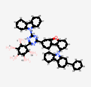 Bc1c(B)c(B)c(-c2nc(-c3ccc4c(c3)oc3cccc(-n5c6ccccc6c6ccc(-c7ccccc7)cc65)c34)nc(-n3c4ccccc4c4ccccc43)n2)c(B)c1B